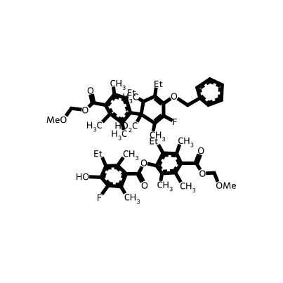 CCC1=C(OCc2ccccc2)C(F)=C(C)C(C(=O)O)(c2c(C)c(C)c(C(=O)OCOC)c(C)c2CC)C1C.CCc1c(C)c(C(=O)Oc2c(C)c(C)c(C(=O)OCOC)c(C)c2CC)c(C)c(F)c1O